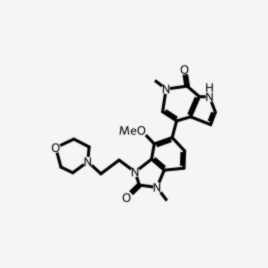 COc1c(-c2cn(C)c(=O)c3[nH]ccc23)ccc2c1n(CCN1CCOCC1)c(=O)n2C